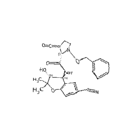 CC1(C)Oc2ccc(C#N)cc2[C@H](NC(=O)[C@@H]2C(=C=O)CCN2OCc2ccccc2)[C@H]1O